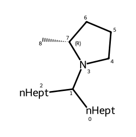 CCCCCCCC(CCCCCCC)N1CCC[C@H]1C